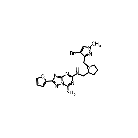 Cn1cc(Br)c(CN2CCCC2CNc2nc(N)n3nc(-c4ccco4)nc3n2)n1